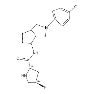 O=C(NC1CCC2CN(c3ccc(Cl)cc3)CC21)[C@@H]1C[C@@H](F)CN1